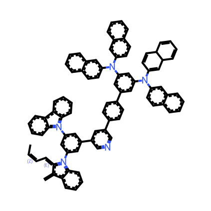 C=c1/c(=C\C=C/C)n(-c2cc(-c3cncc(-c4ccc(-c5cc(N(C6=CC7C=CC=CC7C=C6)c6ccc7ccccc7c6)cc(N(c6ccc7ccccc7c6)c6ccc7ccccc7c6)c5)cc4)c3)cc(-n3c4ccccc4c4ccccc43)c2)c2ccccc12